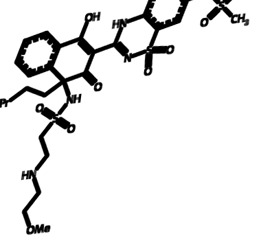 COCCNCCS(=O)(=O)NC1(CCC(C)C)C(=O)C(C2=NS(=O)(=O)c3cc(NS(C)(=O)=O)ccc3N2)=C(O)c2ccccc21